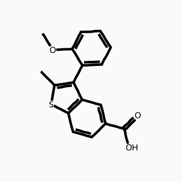 COc1ccccc1-c1c(C)sc2ccc(C(=O)O)cc12